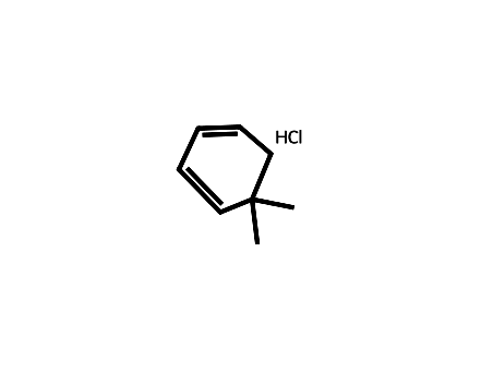 CC1(C)C=CC=CC1.Cl